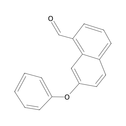 O=Cc1cccc2ccc(Oc3ccccc3)cc12